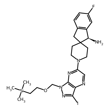 C[Si](C)(C)CCOCn1nc(I)c2ncc(N3CCC4(CC3)Cc3ccc(F)cc3[C@H]4N)nc21